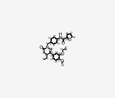 CCC1CC(=O)N(Cc2ccc(NC(=O)c3ccco3)cc2)N=C1c1ccc(OC)c(OCF)c1